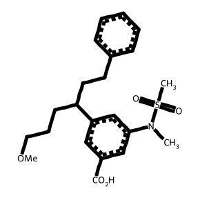 COCCCC(CCc1ccccc1)c1cc(C(=O)O)cc(N(C)S(C)(=O)=O)c1